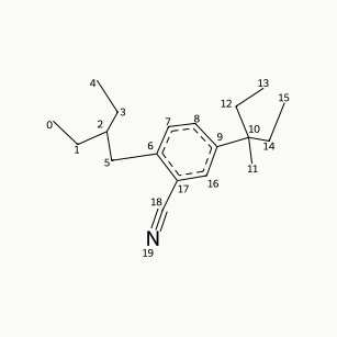 CCC(CC)Cc1ccc(C(C)(CC)CC)cc1C#N